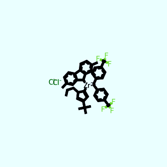 CCCC1C=C(C(C)(C)C)C=[C]1[Zr+2](=[C](c1ccc(C(F)(F)F)cc1)c1ccc(C(F)(F)F)cc1)[CH]1c2cc(C)ccc2-c2ccc(C)cc21.[Cl-].[Cl-]